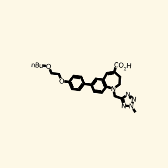 CCCCOCCOc1ccc(-c2ccc3c(c2)C=C(C(=O)O)CCN3Cc2nnn(C)n2)cc1